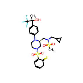 C[C@@](O)(c1ccc(N2CCN(S(=O)(=O)C3=CC=CCC3=S)C[C@@H]2CN(CC2CC2)S(C)(=O)=O)cc1)C(F)(F)F